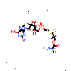 CC(C)[C@H](N)C(=O)OCC(C)(C)C(=O)SCCO[P@]1(=O)OC[C@H]2O[C@@H](n3cnc4c(O)nc(N)nc43)[C@](C)(O)[C@@H]2O1